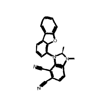 C[C@H]1N(C)c2ccc(C#N)c(C#N)c2N1c1cccc2c1oc1ccccc12